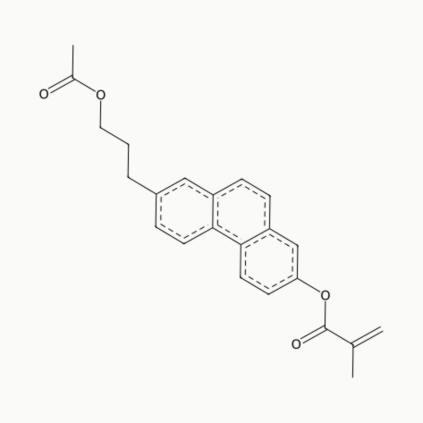 C=C(C)C(=O)Oc1ccc2c(ccc3cc(CCCOC(C)=O)ccc32)c1